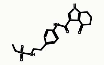 CCS(=O)(=O)NCCc1ccc(NC(=O)c2c[nH]c3c2C(=O)CCC3)cc1